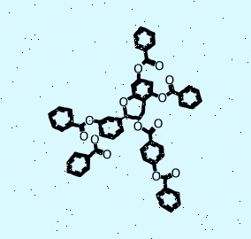 O=C(Oc1ccc(C(=O)O[C@H]2Cc3c(OC(=O)c4ccccc4)cc(OC(=O)c4ccccc4)cc3O[C@@H]2c2ccc(OC(=O)c3ccccc3)c(OC(=O)c3ccccc3)c2)cc1)c1ccccc1